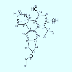 CCOC1Cc2ccc(N(C=S)/C(=N\N)c3cc(C(C)C)c(O)cc3O)cc2C1